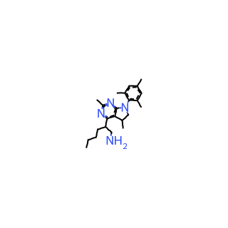 CCCCC(CN)c1nc(C)nc2c1C(C)CN2c1c(C)cc(C)cc1C